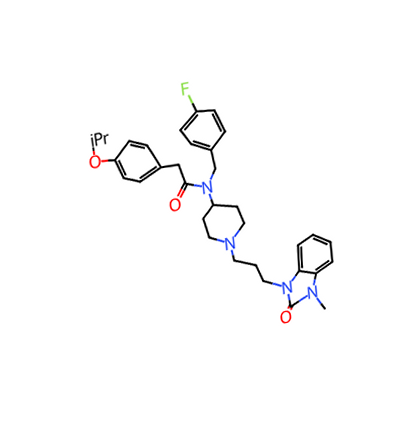 CC(C)Oc1ccc(CC(=O)N(Cc2ccc(F)cc2)C2CCN(CCCn3c(=O)n(C)c4ccccc43)CC2)cc1